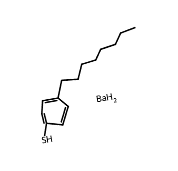 CCCCCCCCc1ccc(S)cc1.[BaH2]